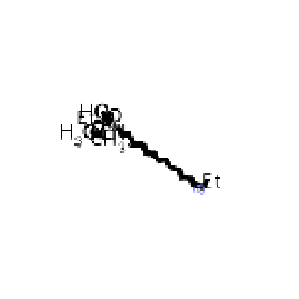 CC/C=C\CCCCCCCCCCCCCOP(=O)(O)C(CC)[N+](C)(C)C